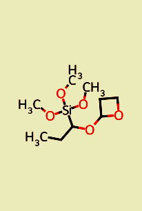 CCC(OC1CCO1)[Si](OC)(OC)OC